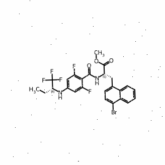 CC[C@@H](Nc1cc(F)c(C(=O)N[C@@H](Cc2ccc(Br)c3ccccc23)C(=O)OC)c(F)c1)C(F)(F)F